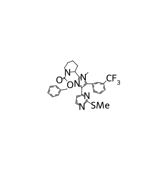 CSc1nccc(-c2nc(C3CCCCN3C(=O)OCc3ccccc3)n(C)c2-c2cccc(C(F)(F)F)c2)n1